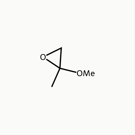 COC1(C)CO1